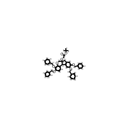 CC(C)(C)OC(=O)COC12COc3c(ccc(OCc4ccccc4)c3OCc3ccccc3)C1c1cc(OCc3ccccc3)c(OCc3ccccc3)cc1C2